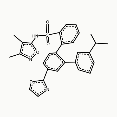 Cc1noc(NS(=O)(=O)c2ccccc2-c2ccc(-c3ncco3)cc2-c2cccc(C(C)C)c2)c1C